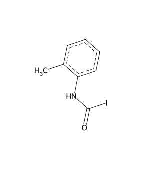 Cc1ccccc1NC(=O)I